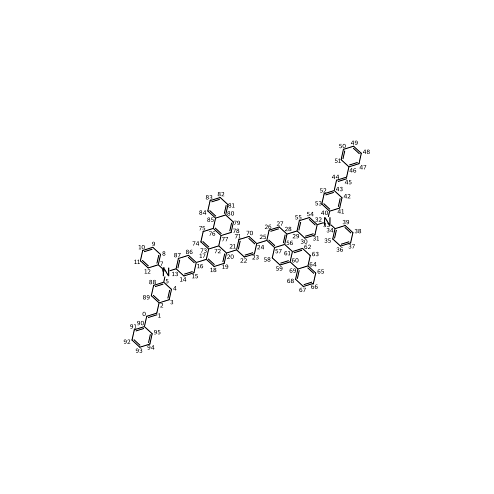 C(=Cc1ccc(N(c2ccccc2)c2ccc(C3=CC=C(c4ccc(-c5ccc(-c6ccc(N(c7ccccc7)c7ccc(C=Cc8ccccc8)cc7)cc6)c6c5CC=C5C6=CCc6ccccc65)cc4)C4C3=CCc3c4ccc4ccccc34)cc2)cc1)c1ccccc1